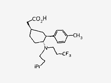 Cc1ccc([C@@H]2C[C@H](CC(=O)O)CC[C@H]2N(CCC(C)C)CCC(F)(F)F)cc1